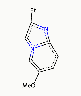 CCc1cn2cc(OC)ccc2n1